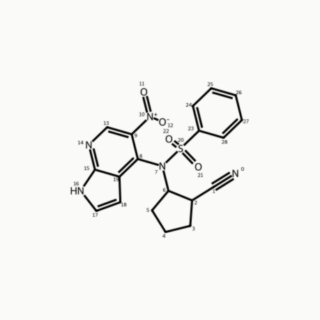 N#CC1CCCC1N(c1c([N+](=O)[O-])cnc2[nH]ccc12)S(=O)(=O)c1ccccc1